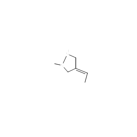 C/C=C1/CNN(C)C1